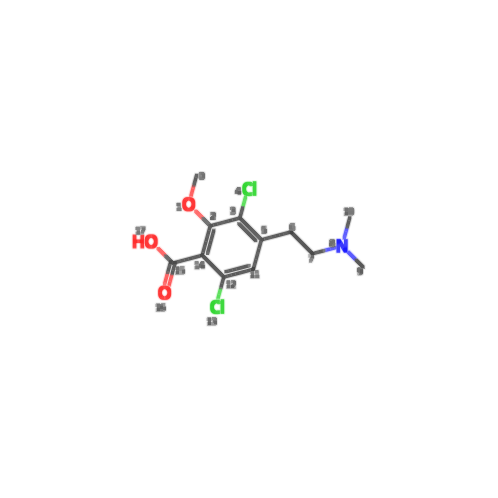 COc1c(Cl)c(CCN(C)C)cc(Cl)c1C(=O)O